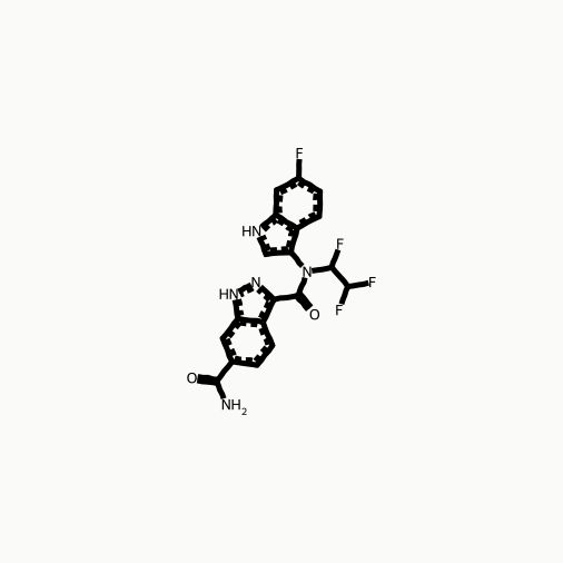 NC(=O)c1ccc2c(C(=O)N(c3c[nH]c4cc(F)ccc34)C(F)C(F)F)n[nH]c2c1